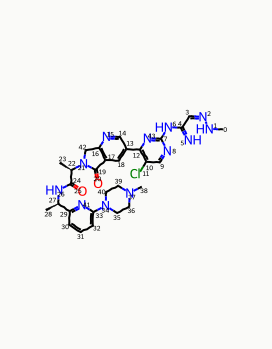 CN/N=C\C(=N)Nc1ncc(Cl)c(-c2cnc3c(c2)C(=O)N([C@H](C)C(=O)N[C@H](C)c2cccc(N4CCN(C)CC4)n2)C3)n1